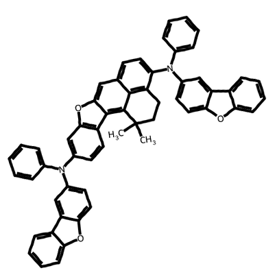 CC1(C)CCc2c(N(c3ccccc3)c3ccc4oc5ccccc5c4c3)ccc3cc4oc5cc(N(c6ccccc6)c6ccc7oc8ccccc8c7c6)ccc5c4c1c23